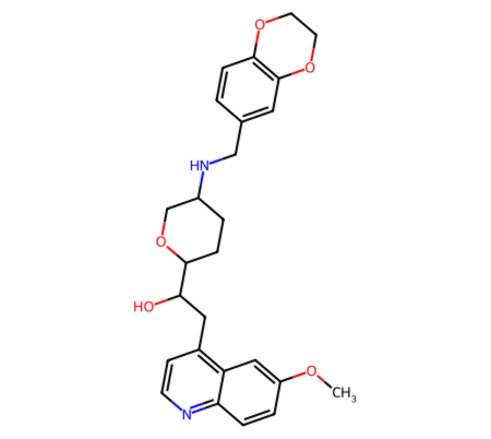 COc1ccc2nccc(CC(O)C3CCC(NCc4ccc5c(c4)OCCO5)CO3)c2c1